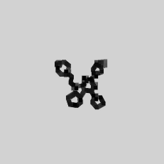 Cl.c1ccc2c(c1)c1c(N3CCCC3)nc(N3CCCC3)nc1n2CCN1CCOCC1